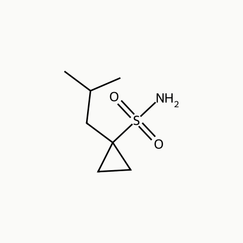 CC(C)CC1(S(N)(=O)=O)CC1